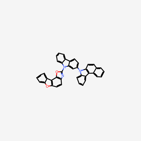 c1ccc2c(c1)ccc1c2c2ccccc2n1-c1ccc2c3ccccc3n(-c3nc4ccc5oc6ccccc6c5c4o3)c2c1